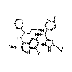 N#CCC[C@@H](Nc1c(C#N)cnc2c(Cl)cc(NC(C3=CN(C4CC4)NN3)c3ccc(F)nc3)cc12)c1ccccc1